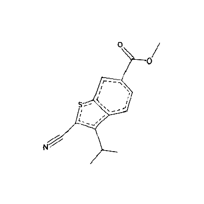 COC(=O)c1ccc2c(C(C)C)c(C#N)sc2c1